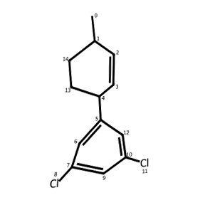 CC1C=CC(c2cc(Cl)cc(Cl)c2)CC1